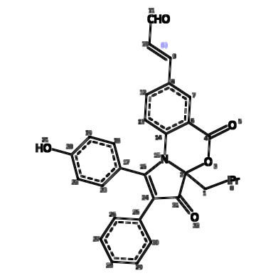 CC(C)CC12OC(=O)c3cc(/C=C/C=O)ccc3N1C(c1ccc(O)cc1)=C(c1ccccc1)C2=O